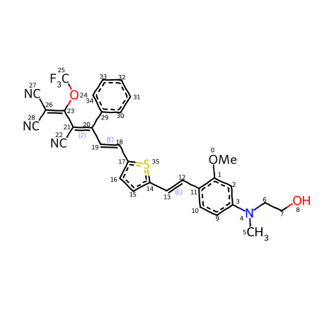 COc1cc(N(C)CCO)ccc1/C=C/c1ccc(/C=C/C(=C(\C#N)C(OC(F)(F)F)=C(C#N)C#N)c2ccccc2)s1